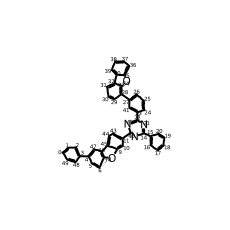 c1ccc(-c2ccc3oc4cc(-c5nc(-c6ccccc6)nc(-c6cccc(-c7cccc8c7oc7ccccc78)c6)n5)ccc4c3c2)cc1